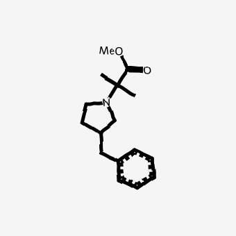 COC(=O)C(C)(C)N1CCC(Cc2ccccc2)C1